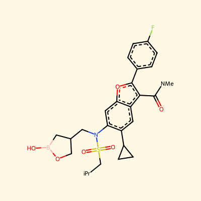 CNC(=O)c1c(-c2ccc(F)cc2)oc2cc(N(CC3COB(O)C3)S(=O)(=O)CC(C)C)c(C3CC3)cc12